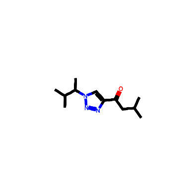 CC(C)CC(=O)c1cn(C(C)C(C)C)nn1